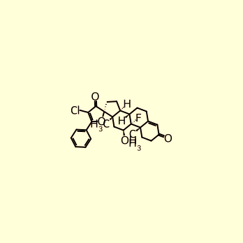 C[C@]12CCC(=O)C=C1CC[C@H]1[C@@H]3CC[C@@]4(OC(c5ccccc5)=C(Cl)C4=O)[C@@]3(C)C[C@H](O)[C@@]12F